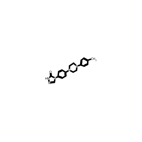 Cc1ccc(N2CCN(c3ccc(-n4cn[nH]c4=O)cc3)CC2)cc1